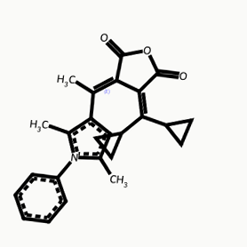 C/C(=C1\C(=O)OC(=O)C1=C(C1CC1)C1CC1)c1cc(C)n(-c2ccccc2)c1C